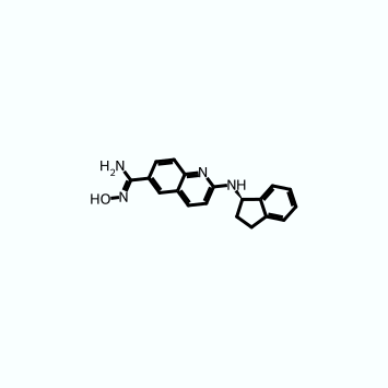 NC(=NO)c1ccc2nc(N[C@@H]3CCc4ccccc43)ccc2c1